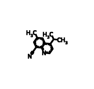 Cc1cc(C#N)c2nccc(C(C)C)c2c1